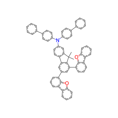 CC1(C)c2cc(N(c3ccc(-c4ccccc4)cc3)c3ccc(-c4ccccc4)cc3)ccc2-c2cc(-c3cccc4c3oc3ccccc34)cc(-c3cccc4c3oc3ccccc34)c21